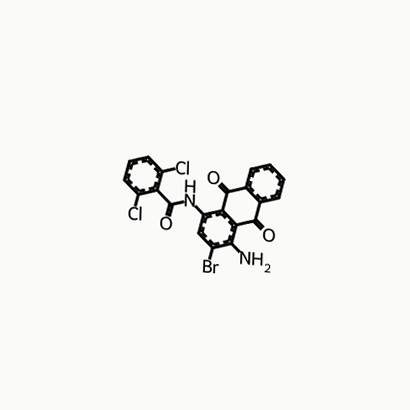 Nc1c(Br)cc(NC(=O)c2c(Cl)cccc2Cl)c2c1C(=O)c1ccccc1C2=O